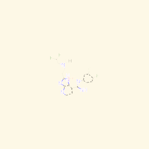 CN(CCc1nc2nccc(C(=N)N(O)c3ccc(F)c(Cl)c3)c2[nH]1)CC(F)F